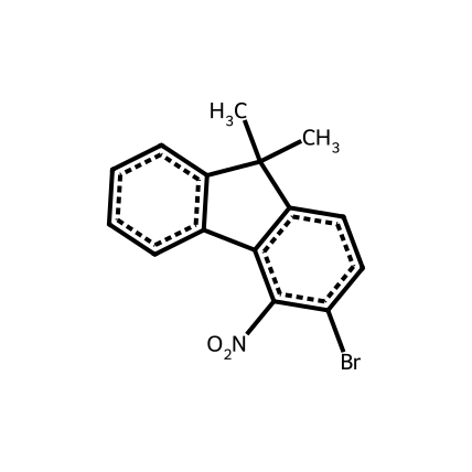 CC1(C)c2ccccc2-c2c1ccc(Br)c2[N+](=O)[O-]